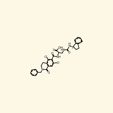 O=C(NCC(NC(=O)c1c(Cl)cc2c(c1Cl)CCN(Cc1ccccc1)C2=O)C(=O)O)N[C@@H]1CCc2ccccc21